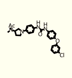 CC(=O)N(C)C1CCN(c2ccc(NC(=O)Nc3ccc(Oc4cccc(Cl)c4)cc3)cc2)C1